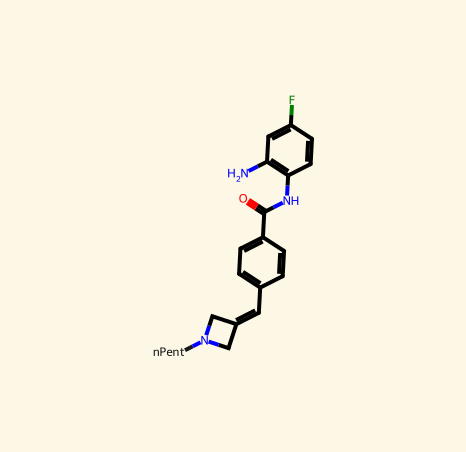 CCCCCN1CC(=Cc2ccc(C(=O)Nc3ccc(F)cc3N)cc2)C1